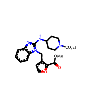 CCOC(=O)N1CCC(Nc2nc3ccccc3n2Cc2ccoc2C(=O)OC)CC1